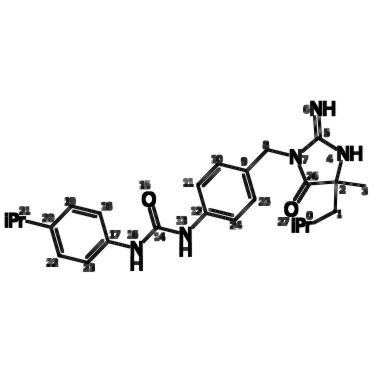 CC(C)CC1(C)NC(=N)N(Cc2ccc(NC(=O)Nc3ccc(C(C)C)cc3)cc2)C1=O